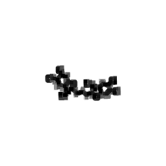 CCN1C(=CC=Cc2oc3cc(Cl)c(Cl)cc3[n+]2CC)Oc2cc(Cl)c(Cl)cc21